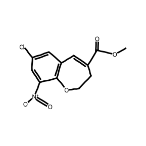 COC(=O)C1=Cc2cc(Cl)cc([N+](=O)[O-])c2OCC1